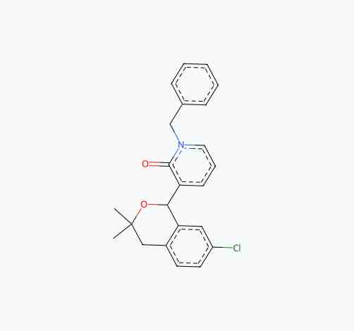 CC1(C)Cc2ccc(Cl)cc2C(c2cccn(Cc3ccccc3)c2=O)O1